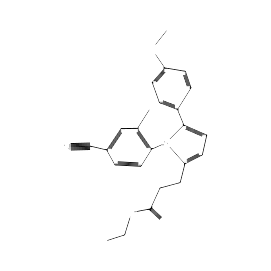 CCOC(=O)CCc1ccc(-c2ccc(SC)cc2)n1-c1ccc(C#N)cc1C